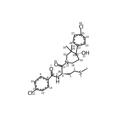 CSCC[C@@H](NC(=O)c1ccc(Cl)cc1)C(=O)N1CC[C@](O)(c2ccc(Cl)cc2)C(C)(C)C1